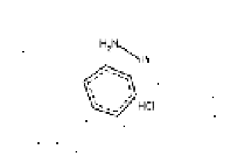 CC(C)N.Cl.c1ccccc1